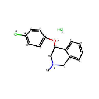 CN1Cc2ccccc2C(Oc2ccc(Cl)cc2)C1.Cl